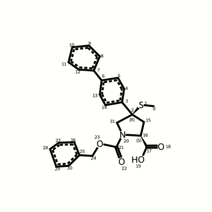 CS[C@@]1(c2ccc(-c3ccccc3)cc2)C[C@@H](C(=O)O)N(C(=O)OCc2ccccc2)C1